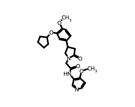 COc1ccncc1NC(=O)CN1CC(c2ccc(OC)c(OC3CCCC3)c2)CC1=O